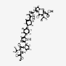 COC(=O)N[C@@H](C(=O)N1CCC[C@H]1c1ncc(-c2ccc(-c3ccc(-c4cnc([C@@H]5CCCN5C(=O)[C@@H](C(C)C)N(C)C(=O)O)[nH]4)cc3)cc2)[nH]1)C(C)C